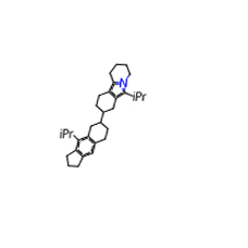 CC(C)c1c2c(cc3c1CC(C1CCc4c(c(C(C)C)n5c4CCCC5)C1)CC3)CCC2